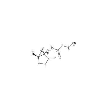 CC1(C)[C@@H]2CC[C@]1(C)[C@@H](OC(=O)CSC#N)C2